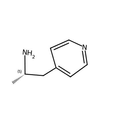 C[C@H](N)Cc1ccncc1